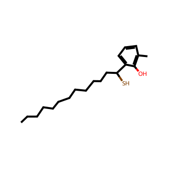 CCCCCCCCCCCCC(S)c1cccc(C)c1O